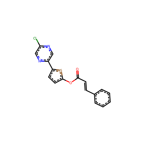 O=C(/C=C/c1ccccc1)Oc1ccc(-c2cnc(Cl)cn2)s1